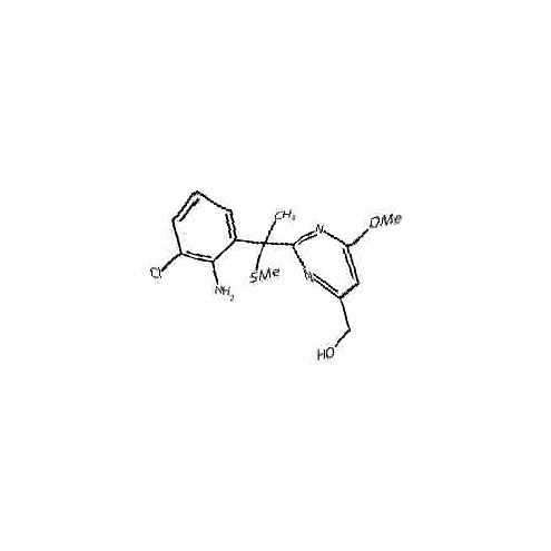 COc1cc(CO)nc(C(C)(SC)c2cccc(Cl)c2N)n1